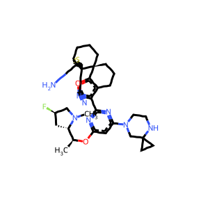 C[C@H](Oc1cc(N2CCNC3(CC3)C2)nc(-c2noc3c2CCC[C@@]32CCCc3sc(N)c(C#N)c32)n1)[C@@H]1C[C@@H](F)CN1C